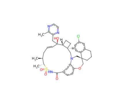 Cc1nccnc1C[C@@]1(O)/C=C/C[C@H](C)[C@@H](C)S(=O)(=O)NC(=O)c2ccc3c(c2)N(C[C@@H]2CC[C@H]21)C[C@@]1(CCCc2cc(Cl)ccc21)CO3